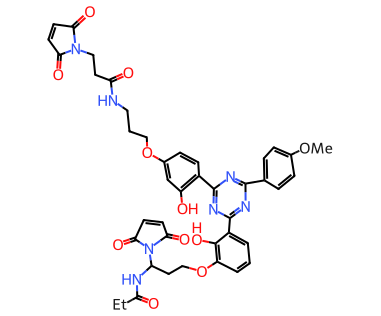 CCC(=O)NC(CCOc1cccc(-c2nc(-c3ccc(OC)cc3)nc(-c3ccc(OCCCNC(=O)CCN4C(=O)C=CC4=O)cc3O)n2)c1O)N1C(=O)C=CC1=O